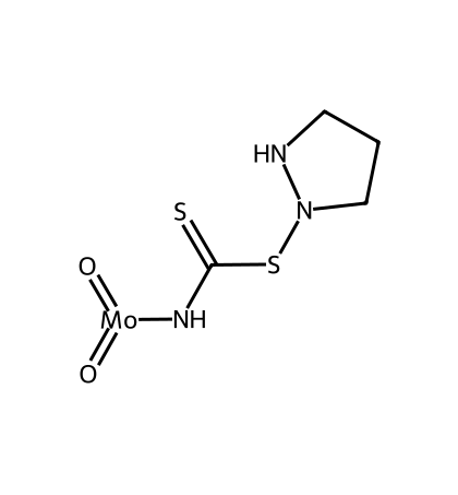 [O]=[Mo](=[O])[NH]C(=S)SN1CCCN1